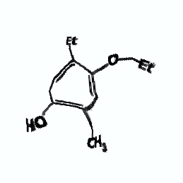 CCOc1cc(C)c(O)cc1CC